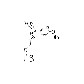 CC(=NOCCOC1CCCCO1)c1ccc(OC(C)C)nc1